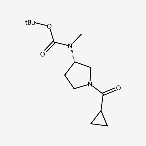 CN(C(=O)OC(C)(C)C)[C@H]1CCN(C(=O)C2CC2)C1